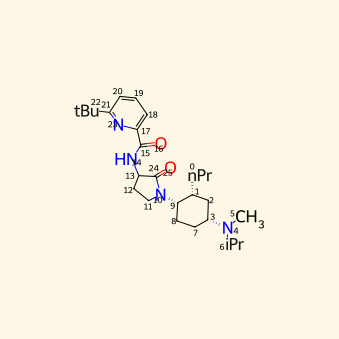 CCC[C@@H]1C[C@H](N(C)C(C)C)CC[C@@H]1N1CCC(NC(=O)c2cccc(C(C)(C)C)n2)C1=O